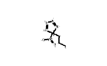 CCCC1([N+](=O)[O-])N=NN=N1